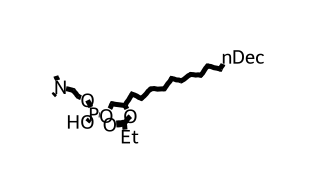 CCCCCCCCCCCCCCCCCCCCC(COP(O)OCCN(C)C)OC(=O)CC